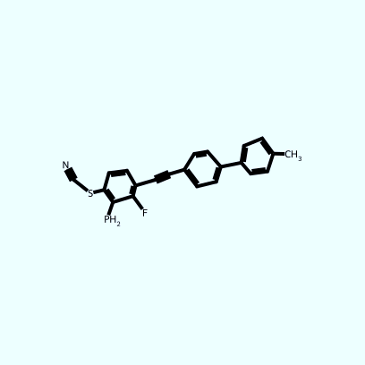 Cc1ccc(-c2ccc(C#Cc3ccc(SC#N)c(P)c3F)cc2)cc1